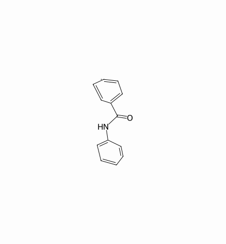 O=C(Nc1ccccc1)c1cc[c]cc1